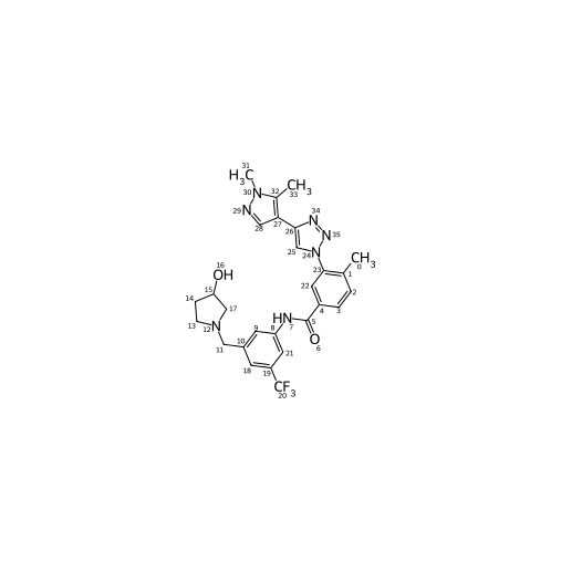 Cc1ccc(C(=O)Nc2cc(CN3CCC(O)C3)cc(C(F)(F)F)c2)cc1-n1cc(-c2cnn(C)c2C)nn1